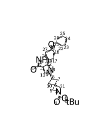 CC(C)(C)OC(=O)N1CC2(CC(n3cc(C(N)=O)c(-c4ccc(Oc5ccccc5)cc4)n3)C2)C1